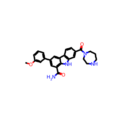 COc1cccc(-c2cc(C(N)=O)c3[nH]c4cc(C(=O)N5CCCNCC5)ccc4c3c2)c1